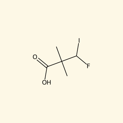 CC(C)(C(=O)O)C(F)I